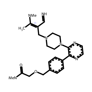 CNC(=O)COCc1ccc(-c2nccnc2N2CCN(C/C(C=N)=C(\C)NC)CC2)cc1